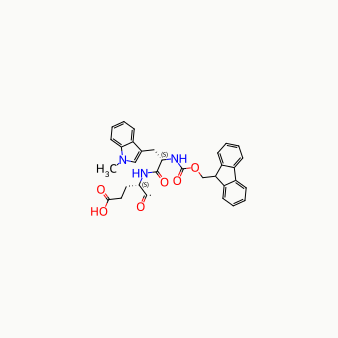 Cn1cc(C[C@H](NC(=O)OCC2c3ccccc3-c3ccccc32)C(=O)N[C@H]([C]=O)CCC(=O)O)c2ccccc21